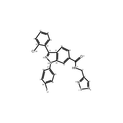 O=C(NCc1cnsn1)c1ccc2c(-c3ccccc3Cl)nn(-c3ccc(F)cc3)c2c1